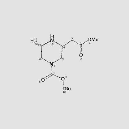 COC(=O)CC1CN(C(=O)OC(C)(C)C)CCN1.Cl